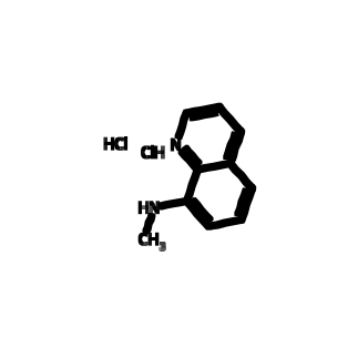 CNc1cccc2cccnc12.Cl.Cl